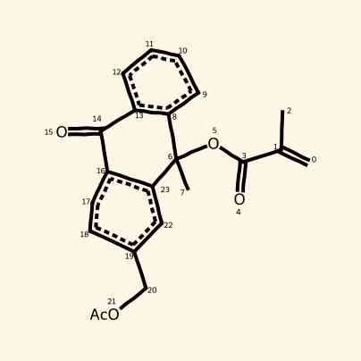 C=C(C)C(=O)OC1(C)c2ccccc2C(=O)c2ccc(COC(C)=O)cc21